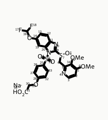 COc1ccnc(C[S+]([O-])c2nc3ccc(OC(F)F)cc3n2S(=O)(=O)c2ccc(OCC(=O)O)cc2)c1OC.[Na]